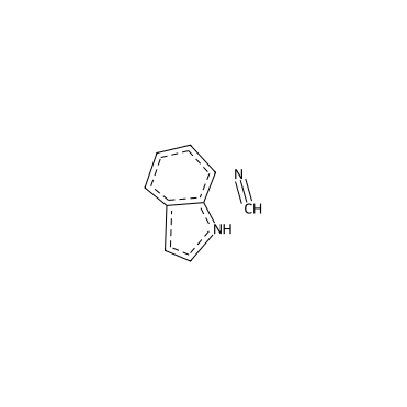 C#N.c1ccc2[nH]ccc2c1